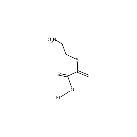 C=C(SCC[N+](=O)[O-])C(=S)OCC